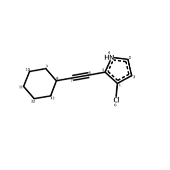 Clc1cc[nH]c1C#CC1CCCCC1